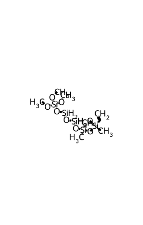 C=C[Si](C)(C)O[Si](C)(C)O[SiH2]O[SiH2]O[Si](OC)(OC)OC